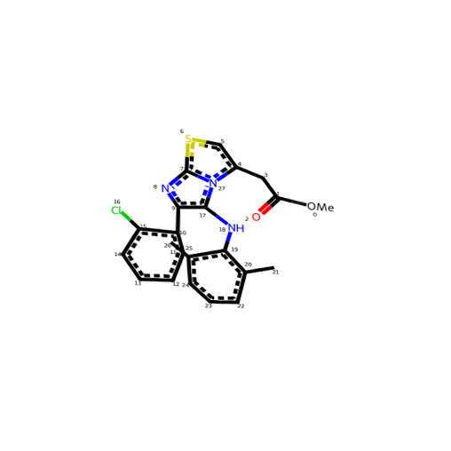 COC(=O)Cc1csc2nc(-c3ccccc3Cl)c(Nc3c(C)cccc3C)n12